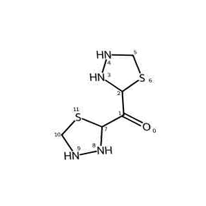 O=C(C1NNCS1)C1NNCS1